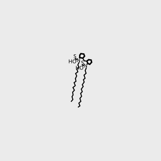 CCCCCCCCCCCCCCCCCCN(C(O)=S)c1ccccc1Cc1ccccc1N(CCCCCCCCCCCCCCCCCC)C(O)=S